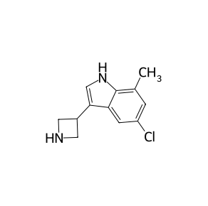 Cc1cc(Cl)cc2c(C3CNC3)c[nH]c12